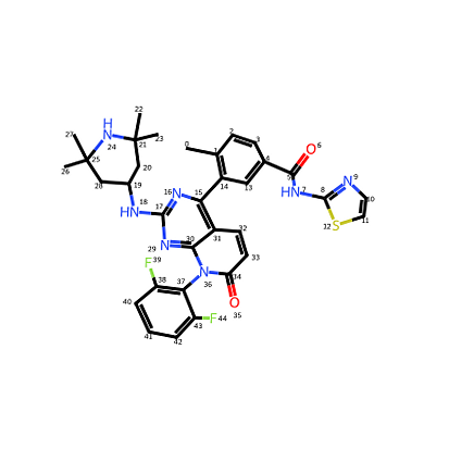 Cc1ccc(C(=O)Nc2nccs2)cc1-c1nc(NC2CC(C)(C)NC(C)(C)C2)nc2c1ccc(=O)n2-c1c(F)cccc1F